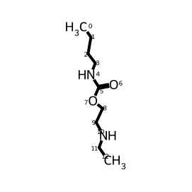 CCCCNC(=O)OCCNCC